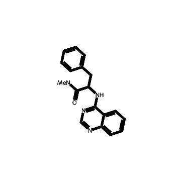 CNC(=O)C(Cc1ccccc1)Nc1ncnc2ccccc12